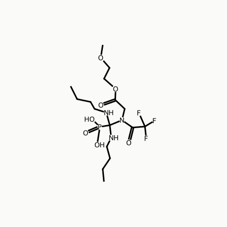 CCCCNC(NCCCC)(N(CC(=O)OCCOC)C(=O)C(F)(F)F)P(=O)(O)O